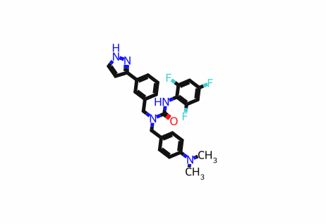 CN(C)c1ccc(CN(Cc2cccc(-c3cc[nH]n3)c2)C(=O)Nc2c(F)cc(F)cc2F)cc1